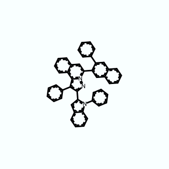 c1ccc(-c2cc3ccccc3cc2-c2cc3ccccc3c3c(-c4ccccc4)c(-c4cc5ccccc5n4-c4ccccc4)nn23)cc1